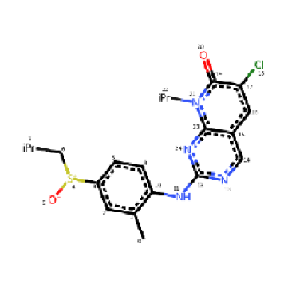 Cc1cc([S+]([O-])CC(C)C)ccc1Nc1ncc2cc(Cl)c(=O)n(C(C)C)c2n1